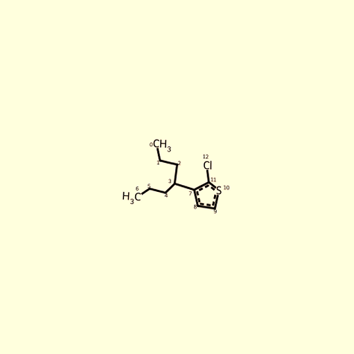 CCCC(CCC)c1ccsc1Cl